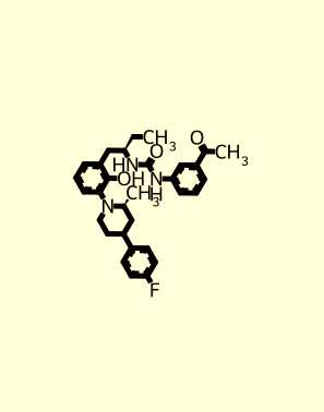 CC[C@H](Cc1cccc(N2CCC(c3ccc(F)cc3)C[C@H]2C)c1O)NC(=O)Nc1cccc(C(C)=O)c1